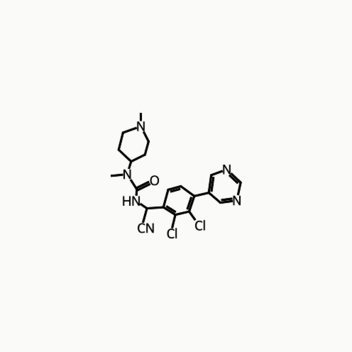 CN1CCC(N(C)C(=O)NC(C#N)c2ccc(-c3cncnc3)c(Cl)c2Cl)CC1